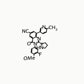 COc1ccc(-n2c([C@H]3CCCN3)nc3c(-c4ccc(C)nc4)cc(C#N)cc3c2=O)cc1F